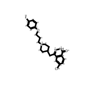 O=c1[nH]nc(CC2CCN(CCCOc3ccc(F)cc3)CC2)c2cc(Cl)ccc12